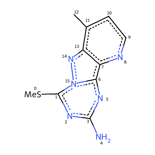 CSc1nc(N)nc2c3nccc(C)c3nn12